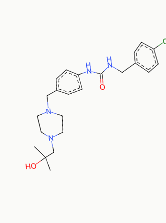 CC(C)(O)CN1CCN(Cc2ccc(NC(=O)NCc3ccc(Cl)cc3)cc2)CC1